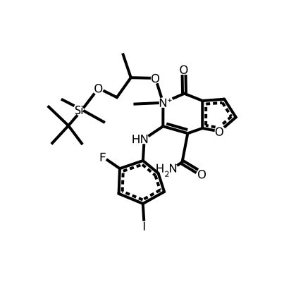 CC(CO[Si](C)(C)C(C)(C)C)O[N+]1(C)C(=O)c2ccoc2C(C(N)=O)=C1Nc1ccc(I)cc1F